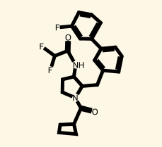 O=C(NC1CCN(C(=O)C2CCC2)C1Cc1cccc(-c2cccc(F)c2)c1)C(F)F